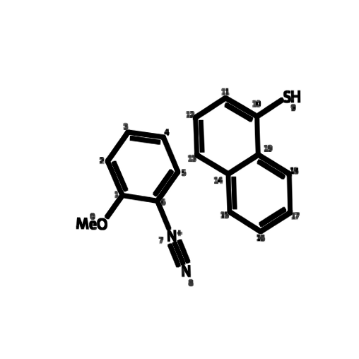 COc1ccccc1[N+]#N.Sc1cccc2ccccc12